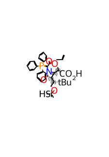 C=CCOC(=O)C(N1C(=O)[C@@H]([C@@H](CO[SiH](C)C)C(C)(C)C)[C@@H]1[C@@H](C)C(=O)O)=P(c1ccccc1)(c1ccccc1)c1ccccc1